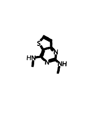 CNc1nc(NC)c2sccc2n1